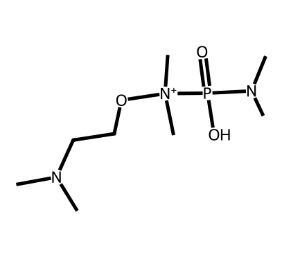 CN(C)CCO[N+](C)(C)P(=O)(O)N(C)C